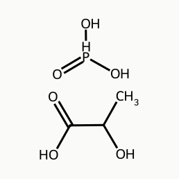 CC(O)C(=O)O.O=[PH](O)O